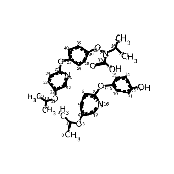 CC(C)Oc1ccc(Oc2ccc(O)cc2)nc1.CC(C)Oc1ccc(Oc2ccc(ON(C(=O)O)C(C)C)cc2)nc1